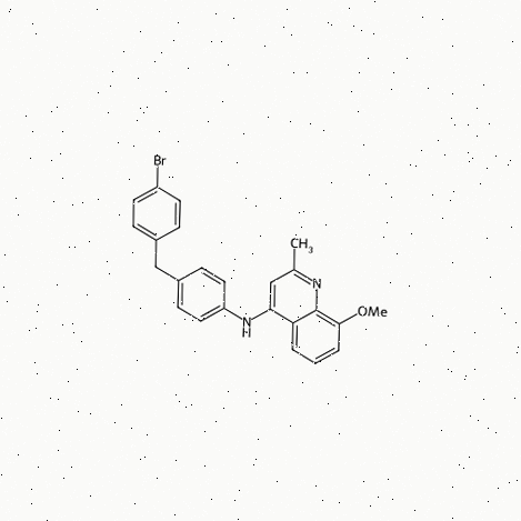 COc1cccc2c(Nc3ccc(Cc4ccc(Br)cc4)cc3)cc(C)nc12